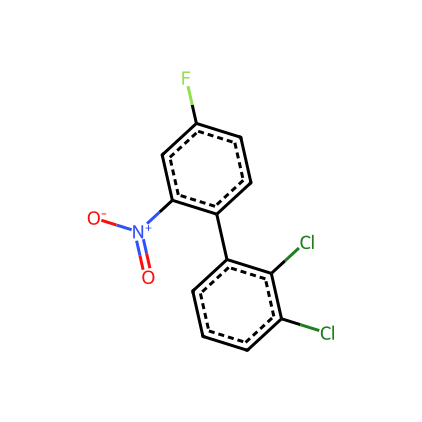 O=[N+]([O-])c1cc(F)ccc1-c1cccc(Cl)c1Cl